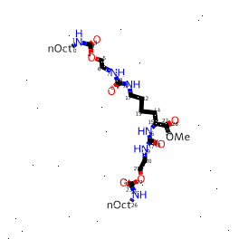 CCCCCCCCNC(=O)OCCNC(=O)NCCCCC(NC(=O)NCCOC(=O)NCCCCCCCC)C(=O)OC